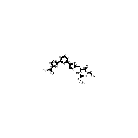 CC(C)(C)OC(=O)N[C@@H](Cc1nc(-c2cccc(-c3nc(C(N)=O)cs3)n2)cs1)C(=O)OCC#N